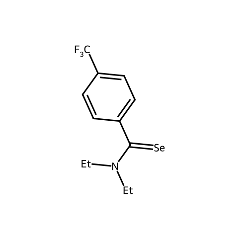 CCN(CC)C(=[Se])c1ccc(C(F)(F)F)cc1